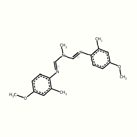 COc1ccc(/N=C/N(C)/C=N/c2ccc(OC)cc2C)c(C)c1